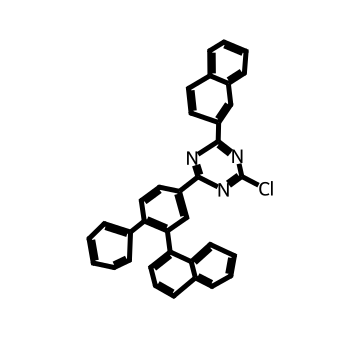 Clc1nc(-c2ccc(-c3ccccc3)c(-c3cccc4ccccc34)c2)nc(-c2ccc3ccccc3c2)n1